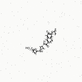 O=C(N[C@H]1C[C@H](Nc2ncc(C(=O)O)o2)C1)c1cnc2cc(OC(F)F)c(F)cc2c1